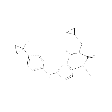 CN1C(=O)C(CC2CC2)N(C)c2nc(Nc3ccc(C4(C#N)CC4)cc3)ncc21